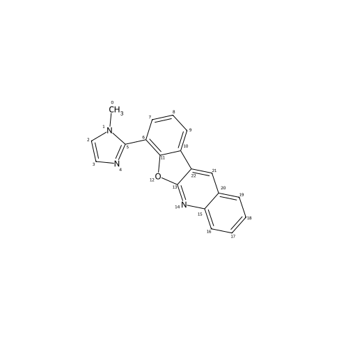 Cn1ccnc1-c1cccc2c1oc1nc3ccccc3cc12